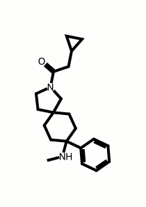 CNC1(c2ccccc2)CCC2(CCN(C(=O)CC3CC3)C2)CC1